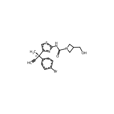 C#C[C@@](C)(c1ccc(Br)cc1)c1csc(NC(=O)N2CC(CO)C2)n1